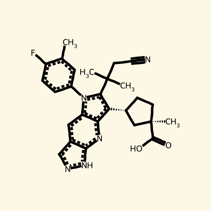 Cc1cc(-n2c(C(C)(C)CC#N)c([C@@H]3CC[C@@](C)(C(=O)O)C3)c3nc4[nH]ncc4cc32)ccc1F